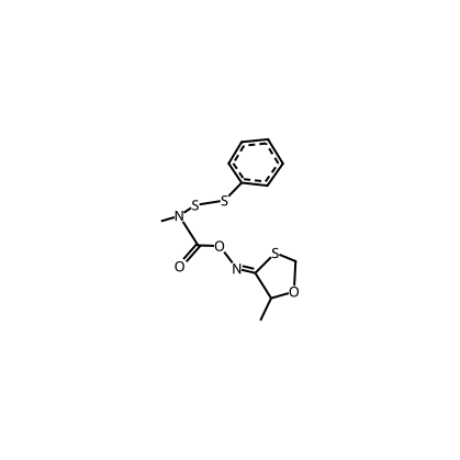 CC1OCSC1=NOC(=O)N(C)SSc1ccccc1